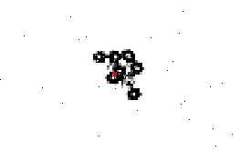 c1ccc(-c2nc(-c3ccccc3)nc(-c3cccc4c5ccccc5n(-c5cccc6oc7c(-c8ccccc8)cccc7c56)c34)n2)cc1